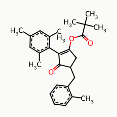 Cc1cc(C)c(C2=C(OC(=O)C(C)(C)C)CC(Cc3ccccc3C)C2=O)c(C)c1